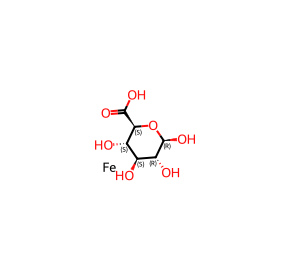 O=C(O)[C@H]1O[C@@H](O)[C@H](O)[C@@H](O)[C@@H]1O.[Fe]